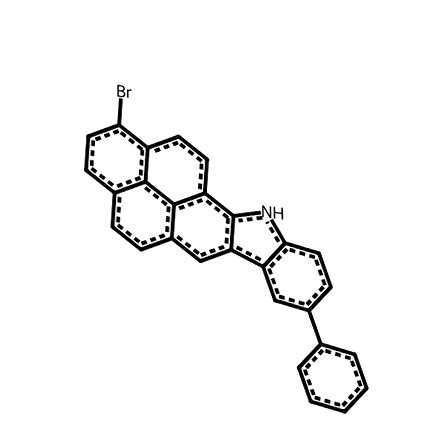 Brc1ccc2ccc3cc4c5cc(-c6ccccc6)ccc5[nH]c4c4ccc1c2c34